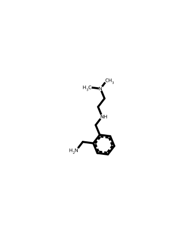 CN(C)CCNCc1ccccc1CN